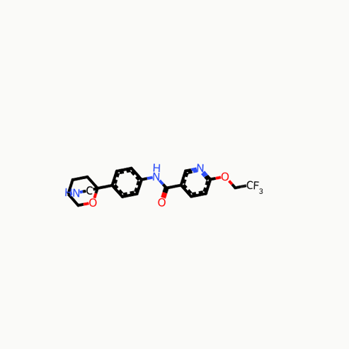 O=C(Nc1ccc(C23CCC(CO2)NC3)cc1)c1ccc(OCC(F)(F)F)nc1